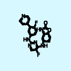 O=c1[nH]c2cc(Nc3nc(Nc4ccc(F)c(-c5ccncc5)c4)ncc3F)ccc2o1